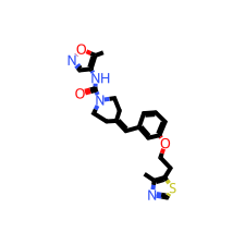 Cc1ncsc1CCOc1cccc(C=C2CCN(C(=O)Nc3cnoc3C)CC2)c1